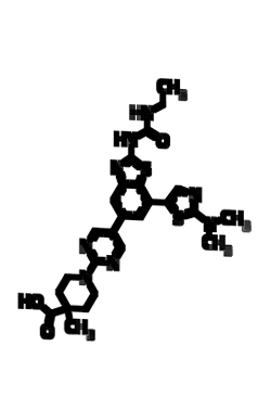 CCNC(=O)Nc1nc2cc(-c3cnc(N4CCC(C)(C(=O)O)CC4)nc3)cc(-c3cnc(N(C)C)s3)c2s1